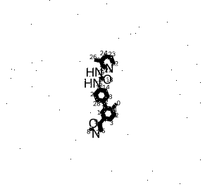 Cc1ccc(-c2cnco2)cc1-c1ccc(NC(=O)Nc2ncccc2C)cc1